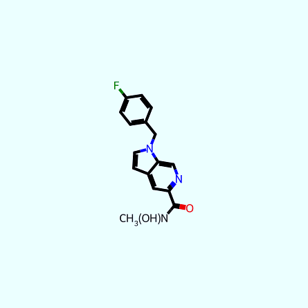 CN(O)C(=O)c1cc2ccn(Cc3ccc(F)cc3)c2cn1